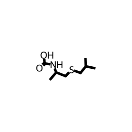 CC(C)CSCC(C)NC(=O)O